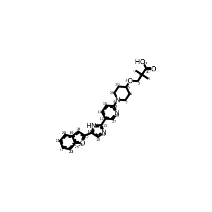 CC(C)(COC1CCN(c2ccc(-c3ncc(-c4cc5ccccc5o4)[nH]3)cn2)CC1)C(=O)O